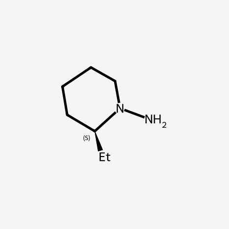 CC[C@H]1CCCCN1N